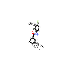 Cc1ccc(C(=O)Nc2ccc(F)c(C=O)c2F)cc1C